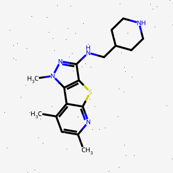 Cc1cc(C)c2c(n1)sc1c(NCC3CCNCC3)nn(C)c12